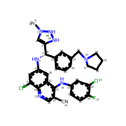 CC(C)N1C=C([C@@H](Nc2cc(Cl)c3ncc(C#N)c(Nc4ccc(F)c(Cl)c4)c3c2)c2cccc(CN3CCCC3)c2)NN1